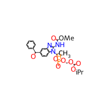 COC(=O)Nc1nc2cc(C(=O)c3ccccc3)ccc2n1C(C)O[PH](=O)OCOC(=O)OC(C)C